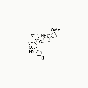 COc1cccc2[nH]c(C(=O)N[C@@H](CC3CC3)C(=O)N[C@H](C#N)C[C@H]3C(=O)Nc4cc(Cl)ccc43)cc12